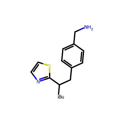 CCC(C)C(Cc1ccc(CN)cc1)c1nccs1